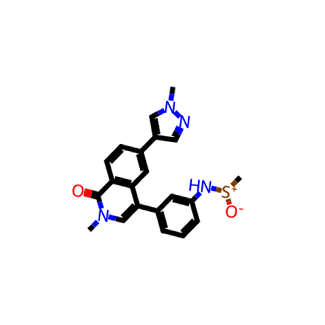 Cn1cc(-c2ccc3c(=O)n(C)cc(-c4cccc(N[S+](C)[O-])c4)c3c2)cn1